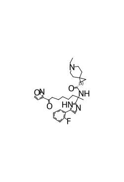 CCN1CCC2(CC1)C[C@@H]2C(=O)NC(C)(CCCCCC(=O)c1ccon1)c1ncc(-c2ccccc2F)[nH]1